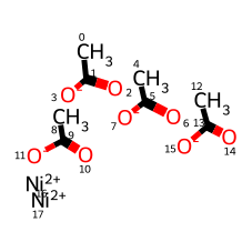 CC(=O)[O-].CC(=O)[O-].CC(=O)[O-].CC(=O)[O-].[Ni+2].[Ni+2]